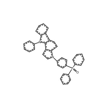 O=P(c1ccccc1)(c1ccccc1)c1ccc(-n2ccc3c2ccc2c4ccccc4n(-c4ccccc4)c23)cc1